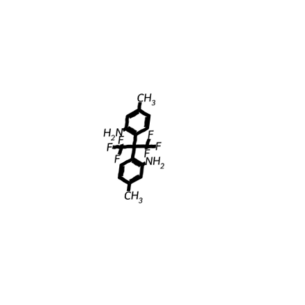 Cc1ccc(C(c2ccc(C)cc2N)(C(F)(F)F)C(F)(F)F)c(N)c1